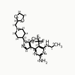 CCNc1nc(N)nc(-c2cnn(C3CCN(CC4OCCO4)CC3)c2C)c1C(F)(F)F